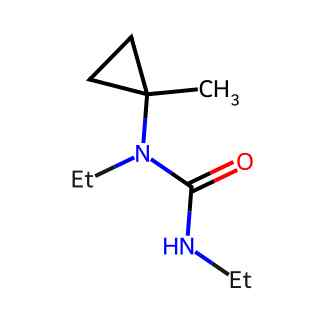 CCNC(=O)N(CC)C1(C)CC1